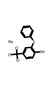 Sc1ccc(C(Cl)(Cl)Cl)cc1Sc1ccccc1.[Na]